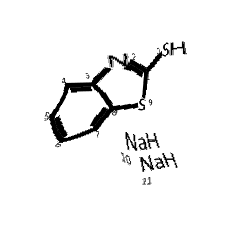 Sc1nc2ccccc2s1.[NaH].[NaH]